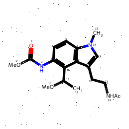 COC(=O)Nc1ccc2c(c(CCNC(C)=O)cn2C)c1C(C)OC